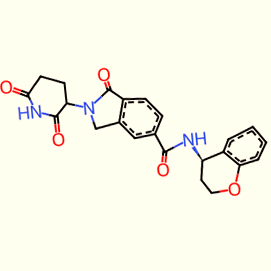 O=C1CCC(N2Cc3cc(C(=O)N[C@@H]4CCOc5ccccc54)ccc3C2=O)C(=O)N1